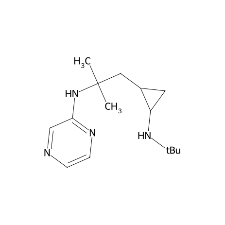 CC(C)(C)NC1CC1CC(C)(C)Nc1cnccn1